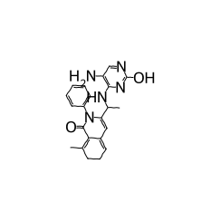 CC1=c2c(cc(C(C)Nc3nc(O)ncc3N)n(-c3ccccc3)c2=O)=CCC1